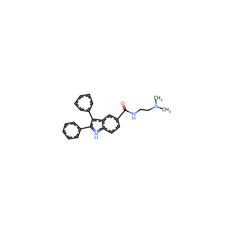 CN(C)CCNC(=O)c1ccc2[nH]c(-c3ccccc3)c(-c3ccccc3)c2c1